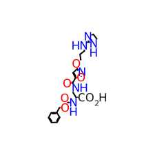 O=C(N[C@@H](CNC(=O)c1cc(OCCCNC2=NCCN2)no1)C(=O)O)OCc1ccccc1